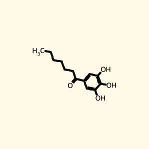 CCCCCCC(=O)c1cc(O)c(O)c(O)c1